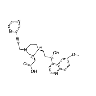 COc1ccc2nccc([C@@H](O)CC[C@@H]3CCN(CC#Cc4cnccn4)C[C@@H]3CC(=O)O)c2c1